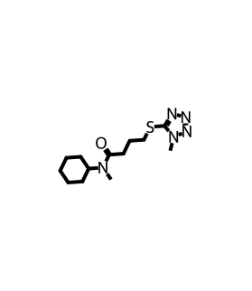 CN(C(=O)CCCSc1nnnn1C)C1CCCCC1